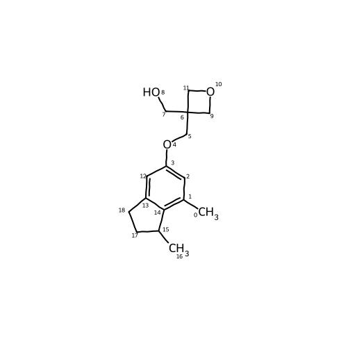 Cc1cc(OCC2(CO)COC2)cc2c1C(C)CC2